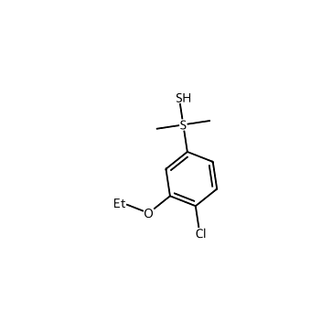 CCOc1cc(S(C)(C)S)ccc1Cl